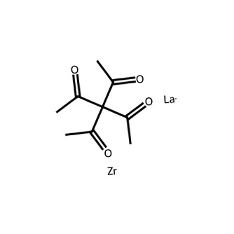 CC(=O)C(C(C)=O)(C(C)=O)C(C)=O.[La].[Zr]